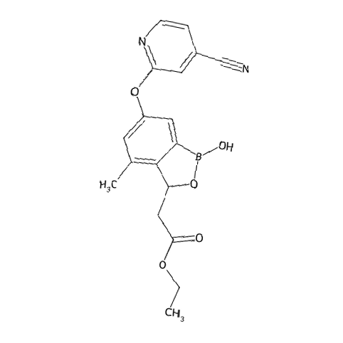 CCOC(=O)CC1OB(O)c2cc(Oc3cc(C#N)ccn3)cc(C)c21